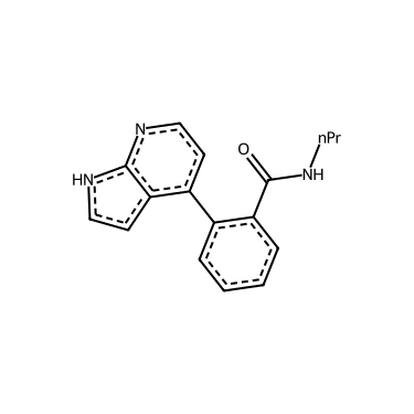 CCCNC(=O)c1ccccc1-c1ccnc2[nH]ccc12